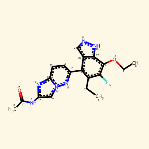 CCOc1c(F)c(CC)c(-c2ccc3nc(NC(C)=O)cn3n2)c2cn[nH]c12